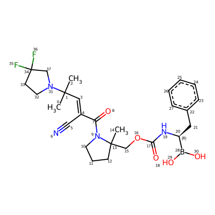 CC(C)(C=C(C#N)C(=O)N1CCCC1(C)COC(=O)N[C@@H](Cc1ccccc1)B(O)O)N1CCC(F)(F)C1